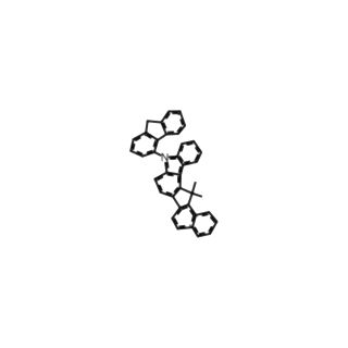 CC1(C)c2c(ccc3ccccc23)-c2ccc3c(c21)c1ccccc1n3-c1cccc2c1-c1ccccc1C2